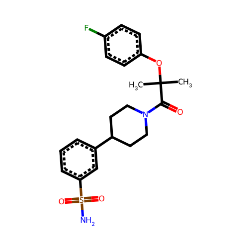 CC(C)(Oc1ccc(F)cc1)C(=O)N1CCC(c2cccc(S(N)(=O)=O)c2)CC1